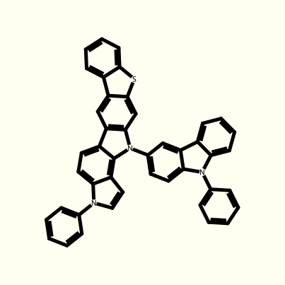 c1ccc(-n2ccc3c2ccc2c4cc5c(cc4n(-c4ccc6c(c4)c4ccccc4n6-c4ccccc4)c23)sc2ccccc25)cc1